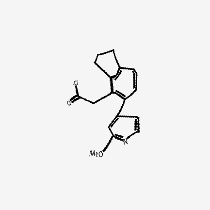 COc1cc(-c2ccc3c(c2CC(=O)Cl)CCC3)ccn1